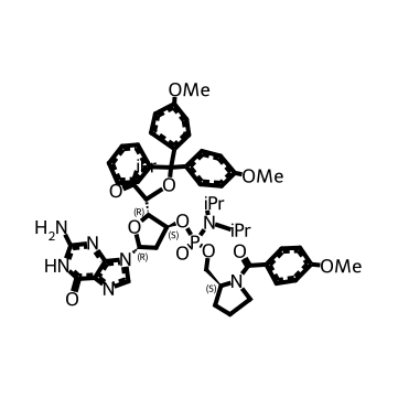 COc1ccc(C(=O)N2CCC[C@H]2COP(=O)(O[C@H]2C[C@H](n3cnc4c(=O)[nH]c(N)nc43)O[C@@H]2C(OC(c2ccccc2)(c2ccc(OC)cc2)c2ccc(OC)cc2)C(=O)C(C)C)N(C(C)C)C(C)C)cc1